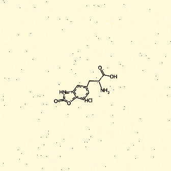 Cl.NC(Cc1ccc2oc(=O)[nH]c2c1)C(=O)O